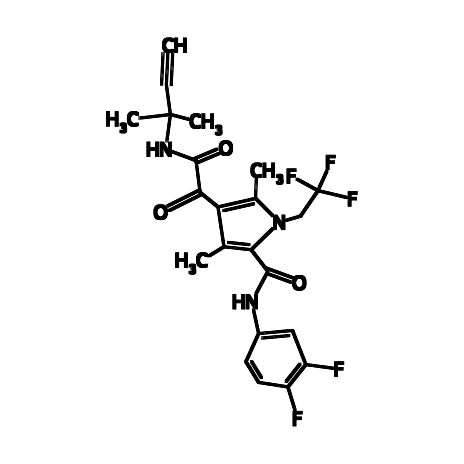 C#CC(C)(C)NC(=O)C(=O)c1c(C)c(C(=O)Nc2ccc(F)c(F)c2)n(CC(F)(F)F)c1C